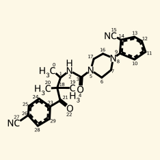 CC(NC(=O)N1CCN(c2ccccc2C#N)CC1)C(C)(C)C(=O)c1ccc(C#N)cc1